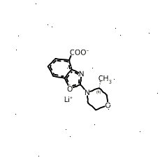 C[C@@H]1COCCN1c1nc2c(C(=O)[O-])cccc2o1.[Li+]